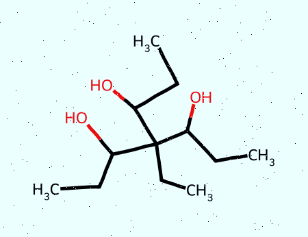 CCC(O)C(CC)(C(O)CC)C(O)CC